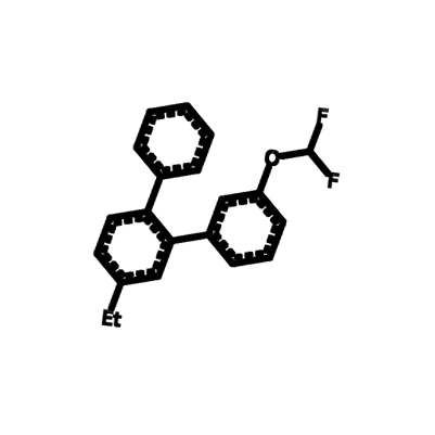 CCc1ccc(-c2ccccc2)c(-c2cccc(OC(F)F)c2)c1